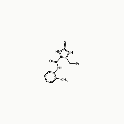 Cc1ccccc1NC(=O)c1[nH]c(=S)[nH]c1CC(C)C